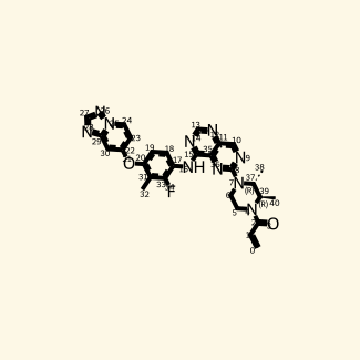 C=CC(=O)N1CCN(c2ncc3ncnc(Nc4ccc(Oc5ccn6ncnc6c5)c(C)c4F)c3n2)[C@H](C)[C@H]1C